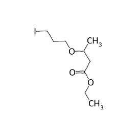 CCOC(=O)CC(C)OCCCI